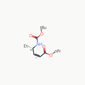 CCCOC(=O)/C=C\[C@H](CC)NC(=O)OC(C)(C)C